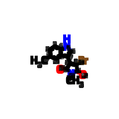 Cc1ccc2[nH]cc(C3=C(Br)C(=O)N(C)C3=O)c2c1